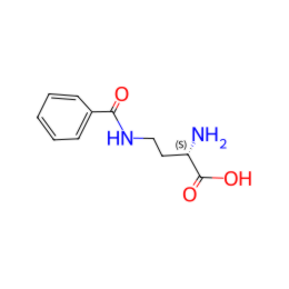 N[C@@H](CCNC(=O)c1ccccc1)C(=O)O